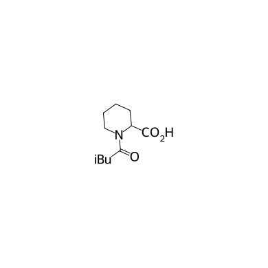 CCC(C)C(=O)N1CCCCC1C(=O)O